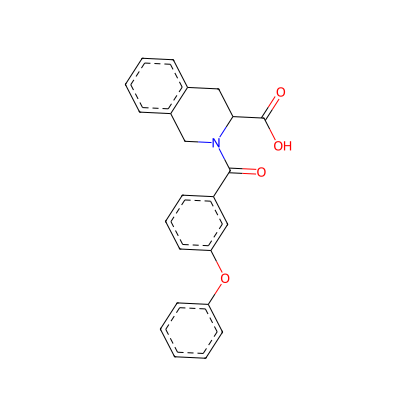 O=C(O)C1Cc2ccccc2CN1C(=O)c1cccc(Oc2ccccc2)c1